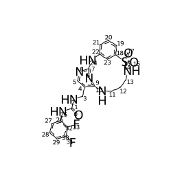 O=C(NCc1cnc2nc1NCCCNS(=O)(=O)c1cccc(c1)N2)Nc1cccc(F)c1F